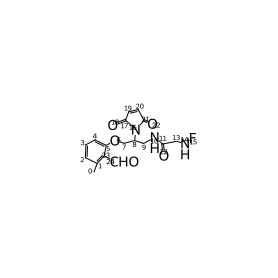 Cc1cccc(OCC(CNC(=O)CNF)N2C(=O)C=CC2=O)c1C=O